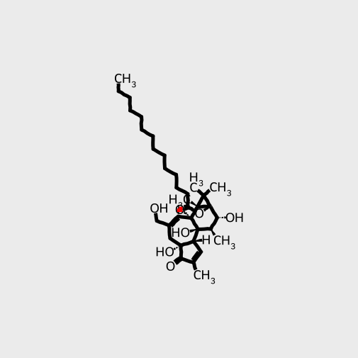 CCCCCCCCCCCCCC(=O)O[C@@]12[C@H](O)[C@@H](C)[C@@]3(O)[C@@H](C=C(CO)C[C@]4(O)C(=O)C(C)=C[C@@H]34)[C@]1(C)C2(C)C